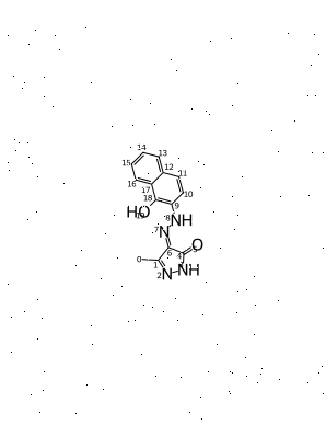 CC1=NNC(=O)C1=NNc1ccc2ccccc2c1O